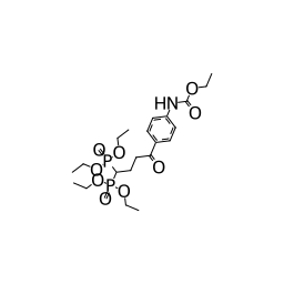 CCOC(=O)Nc1ccc(C(=O)CCC(P(=O)(OCC)OCC)P(=O)(OCC)OCC)cc1